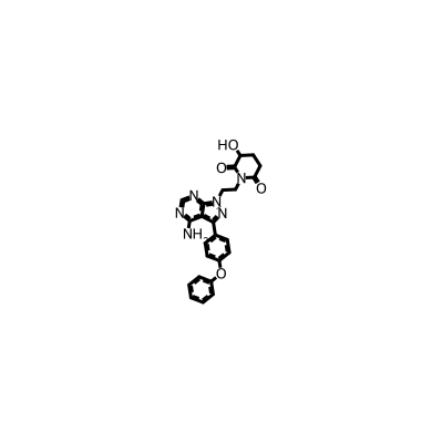 Nc1ncnc2c1c(-c1ccc(Oc3ccccc3)cc1)nn2CCN1C(=O)CCC(O)C1=O